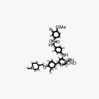 COc1ccc(S(=O)(=O)Nc2ccc(Nc3cc(-c4ccc(OCC5CCN(C)CC5)c(C)c4)ncn3)cc2)cc1F.O=CO